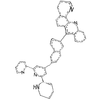 C1=CCNC(c2cc(-c3ccc4cc(-c5c6ccccc6nc6c5ccc5cccnc56)ccc4c3)cc(-c3ccccn3)n2)=C1